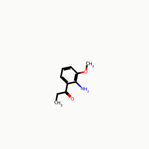 CCC(=O)c1cccc(OC)c1N